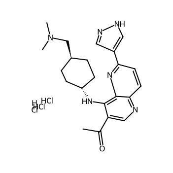 CC(=O)c1cnc2ccc(-c3cn[nH]c3)nc2c1N[C@H]1CC[C@H](CN(C)C)CC1.Cl.Cl.Cl